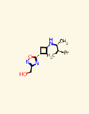 CC(C)[C@@H](C)[C@@H](C)N[C@H]1C[C@H](c2nc(CO)no2)C1